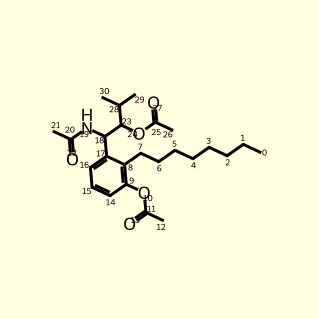 CCCCCCCCc1c(OC(C)=O)cccc1C(NC(C)=O)C(OC(C)=O)C(C)C